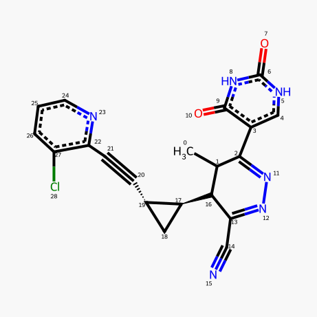 CC1C(c2c[nH]c(=O)[nH]c2=O)=NN=C(C#N)C1[C@H]1C[C@@H]1C#Cc1ncccc1Cl